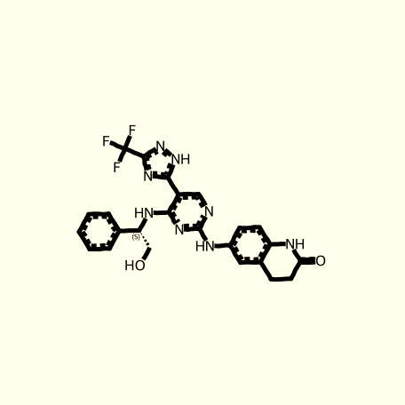 O=C1CCc2cc(Nc3ncc(-c4nc(C(F)(F)F)n[nH]4)c(N[C@H](CO)c4ccccc4)n3)ccc2N1